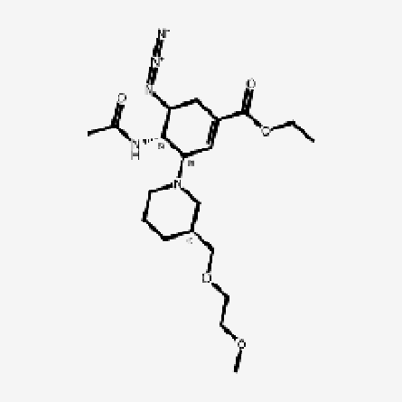 CCOC(=O)C1=C[C@@H](N2CCC[C@H](COCCOC)C2)[C@H](NC(C)=O)C(N=[N+]=[N-])C1